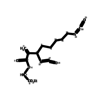 C=C(C(=O)ONC(=O)OCC)C(CCCCCN=C=O)N=C=O